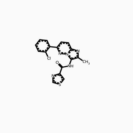 Cc1nc2ccc(-c3ccccc3Cl)nn2c1NC(=O)c1cscn1